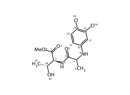 COC(=O)[C@@H](NC(=O)C(C)Nc1ccc(Cl)c(Cl)c1)[C@@H](C)O